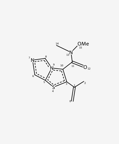 C=C(C)c1sc2cncn2c1C(=O)N(C)OC